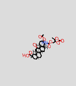 CC(=O)O[C@H]1CC[C@@]2(C)[C@@H](CC[C@]3(C)[C@@H]2C(=O)C=C2[C@@H]4C[C@@](C)(C(=O)O)CC[C@]4(C)CC[C@]23C)[C@]1(C)NC(=O)OCc1oc(=O)oc1C